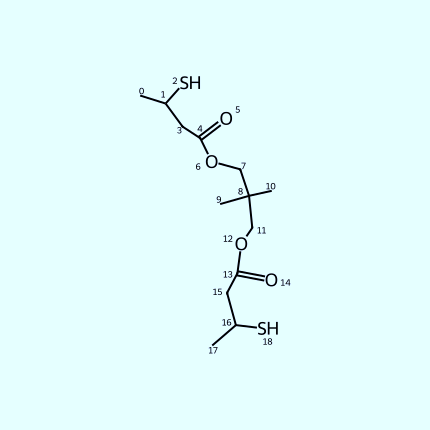 CC(S)CC(=O)OCC(C)(C)COC(=O)CC(C)S